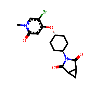 Cn1cc(Br)c(O[C@H]2CC[C@H](N3C(=O)C4CC4C3=O)CC2)cc1=O